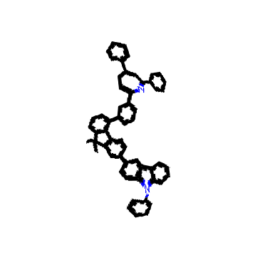 CC1(C)c2cc(-c3ccc4c(c3)c3ccccc3n4-c3ccccc3)ccc2-c2c(-c3cccc(C4=CCC(c5ccccc5)=CC(c5ccccc5)=N4)c3)cccc21